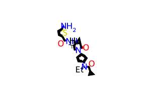 CCN(C(=O)C1CC1)c1ccc(N2C[C@H](CNC(=O)c3ccc(N)s3)[C@@H]3CC3C2=O)cc1